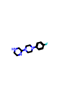 Fc1ccc(N2CCN(C3CNCC[N]3)CC2)cc1